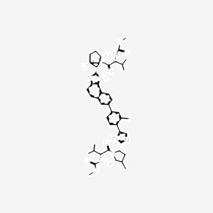 COC(=O)N[C@H](C(=O)N1[C@@H]2CC[C@@H](C2)[C@H]1c1nc2ccc3cc(-c4ccc(-c5cnc([C@@H]6CC(C)[C@@H](C)N6C(=O)[C@@H](NC(=O)OC)C(C)C)[nH]5)c(F)c4)ccc3c2[nH]1)C(C)C